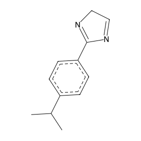 CC(C)c1ccc(C2=NCC=N2)cc1